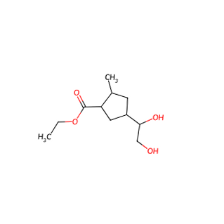 CCOC(=O)C1CC(C(O)CO)CC1C